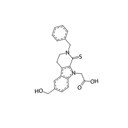 O=C(O)Cn1c2c(c3cc(CO)ccc31)CCN(Cc1ccccc1)C2=S